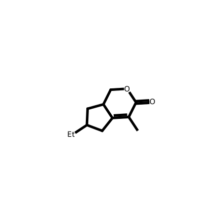 CCC1CC2=C(C)C(=O)OCC2C1